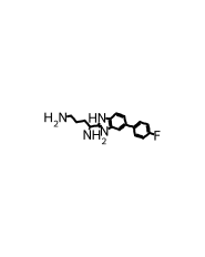 NCCC[C@H](N)c1nc2cc(-c3ccc(F)cc3)ccc2[nH]1